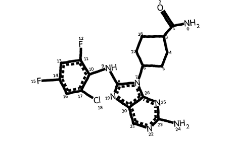 NC(=O)C1CCC(n2c(Nc3c(F)cc(F)cc3Cl)nc3cnc(N)nc32)CC1